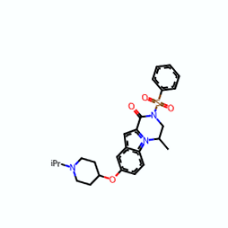 CC(C)N1CCC(Oc2ccc3c(c2)cc2n3C(C)CN(S(=O)(=O)c3ccccc3)C2=O)CC1